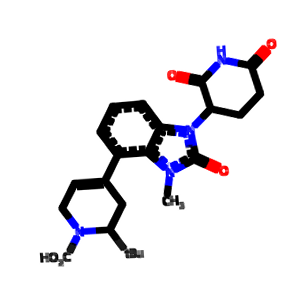 Cn1c(=O)n(C2CCC(=O)NC2=O)c2cccc(C3=CCN(C(=O)O)C(C(C)(C)C)C3)c21